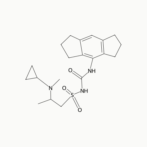 CC(CS(=O)(=O)NC(=O)Nc1c2c(cc3c1CCC3)CCC2)N(C)C1CC1